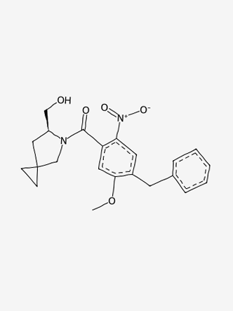 COc1cc(C(=O)N2CC3(CC3)C[C@H]2CO)c([N+](=O)[O-])cc1Cc1ccccc1